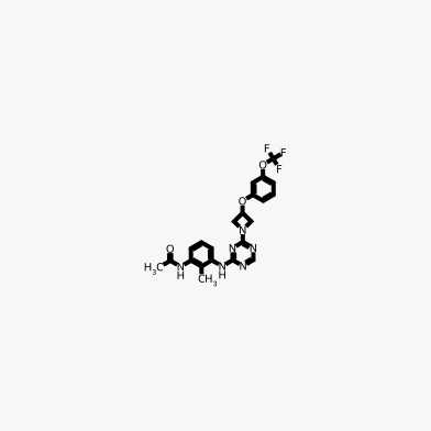 CC(=O)Nc1cccc(Nc2ncnc(N3CC(Oc4cccc(OC(F)(F)F)c4)C3)n2)c1C